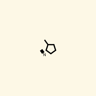 C#N.CC1CCCC1